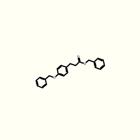 O=C(CCc1ccc(OCc2ccccc2)cc1)OCc1ccccc1